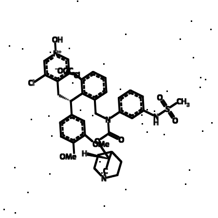 COc1ccc([C@H](Cc2c(Cl)c[n+](O)cc2Cl)c2c(CN(C(=O)O[C@H]3CN4CCC3CC4)c3cccc(NS(C)(=O)=O)c3)cccc2C(=O)[O-])cc1OC